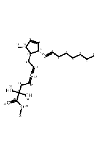 CCCCCCC=C[C@H]1C=C[C@H](C)[C@@H]1CC=C=CCC(O)(O)C(=O)OC